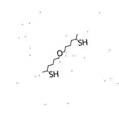 CC(S)CCCCOCCCCC(C)S